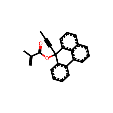 C=C(C)C(=O)OC1(C#CC)c2ccccc2-c2cccc3cccc1c23